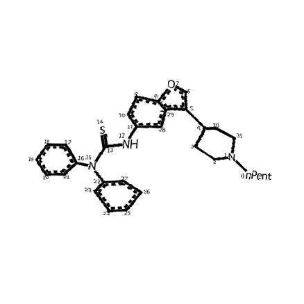 CCCCCN1CCC(c2coc3ccc(NC(=S)N(c4ccccc4)c4ccccc4)cc23)CC1